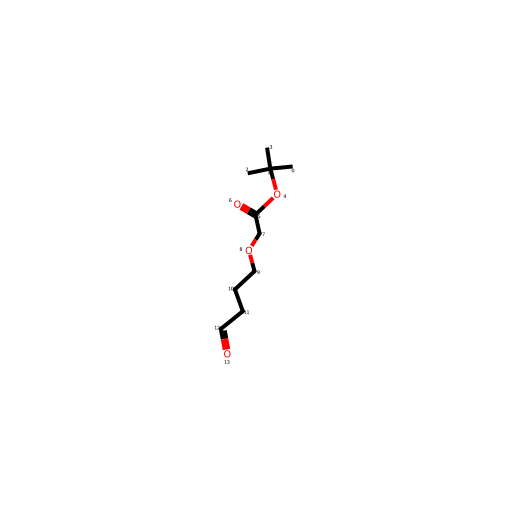 CC(C)(C)OC(=O)COCCCC=O